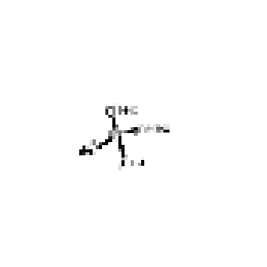 CCCCCC[N+](CCCC)(CCCC)CCCCCC